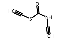 C#CNC(=O)SC#C